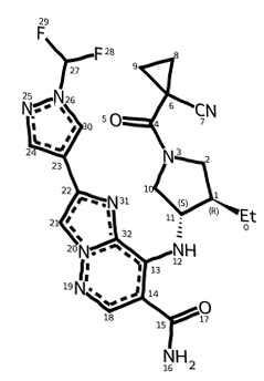 CC[C@@H]1CN(C(=O)C2(C#N)CC2)C[C@H]1Nc1c(C(N)=O)cnn2cc(-c3cnn(C(F)F)c3)nc12